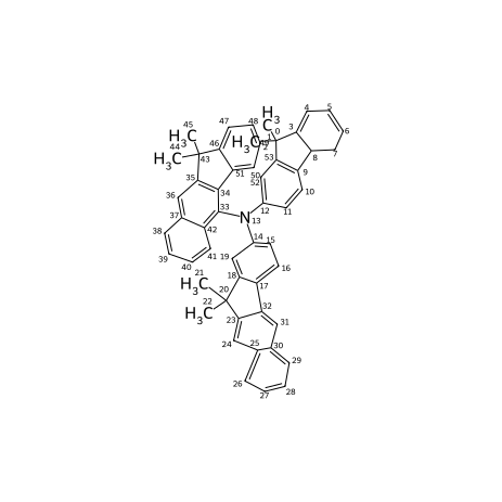 CC1(C)C2=CC=CCC2c2ccc(N(c3ccc4c(c3)C(C)(C)c3cc5ccccc5cc3-4)c3c4c(cc5ccccc35)C(C)(C)c3ccccc3-4)cc21